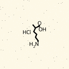 CC(CCCCN)C(=O)O.Cl